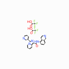 O=C(Nc1cccc2cnccc12)c1nc(-c2cccnc2)n2ccccc12.O=C(O)C(F)(F)F.O=C(O)C(F)(F)F